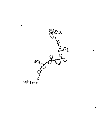 CCCCCCOCCOCCOC(CC)COC(=O)c1cccc(C(=O)OCC(CC)OCCOCCOCCCCCC)c1